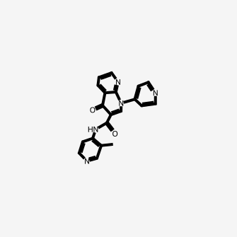 Cc1cnccc1NC(=O)c1cn(-c2ccncc2)c2ncccc2c1=O